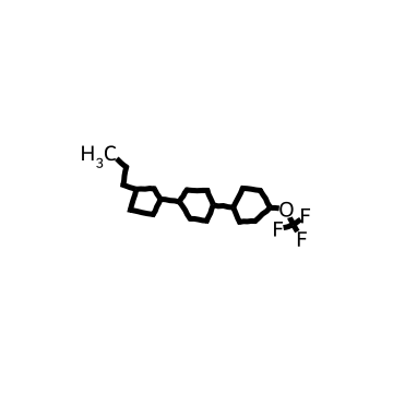 CCCC1CCC(C2CCC(C3CCC(OC(F)(F)F)CC3)CC2)C1